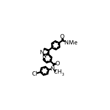 CNC(=O)c1ccc(-c2cnn3ccc(C(=O)N(C)c4ccc(Cl)cc4)cc23)cc1